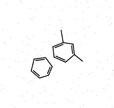 Cc1cccc(C)c1.[c]1ccccc1